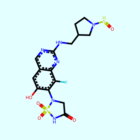 O=[SH]N1CCC(CNc2ncc3cc(O)c(N4CC(=O)NS4(=O)=O)c(F)c3n2)C1